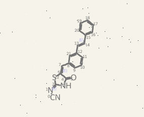 N#C/N=C1\NC(=O)/C(=C\c2cccc(/C=C/c3ccccc3)c2)S1